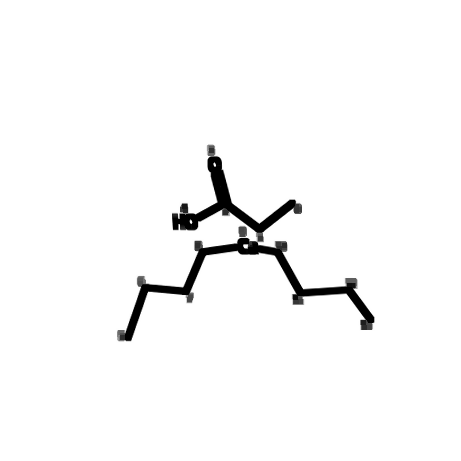 CCC(=O)O.CCC[CH2][Ca][CH2]CCC